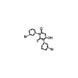 O=c1cc(O)n(-c2cccc(Br)c2)c(=S)n1-c1cccc(Br)c1